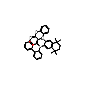 CC1(C)CCC(C)(C)c2cc3c(cc21)B1c2ccccc2Oc2nccc(c21)N3c1ccccc1-c1ccccc1